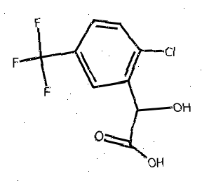 O=C(O)C(O)c1cc(C(F)(F)F)ccc1Cl